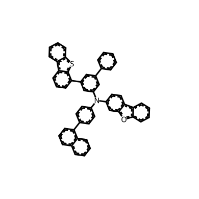 c1ccc(-c2cc(-c3cccc4c3sc3ccccc34)cc(N(c3ccc(-c4cccc5ccccc45)cc3)c3ccc4c(c3)oc3ccccc34)c2)cc1